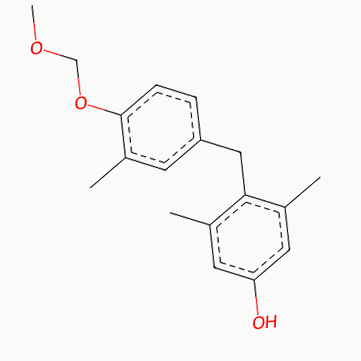 COCOc1ccc(Cc2c(C)cc(O)cc2C)cc1C